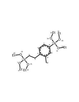 CCO[Si](CCc1ccc([Si](OCC)(OCC)OCC)cc1C)(OCC)OCC